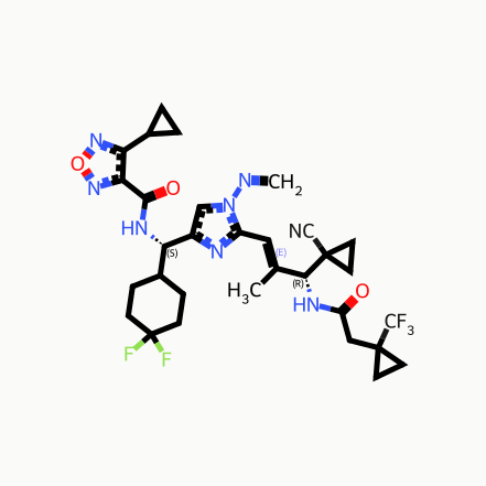 C=Nn1cc([C@@H](NC(=O)c2nonc2C2CC2)C2CCC(F)(F)CC2)nc1/C=C(\C)[C@@H](NC(=O)CC1(C(F)(F)F)CC1)C1(C#N)CC1